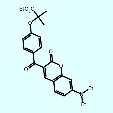 CCOC(=O)C(C)(C)Oc1ccc(C(=O)c2cc3ccc(N(CC)CC)cc3oc2=O)cc1